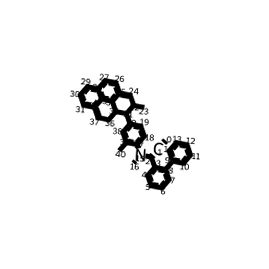 C=C=C(c1ccccc1-c1ccccc1)N(C)c1ccc(C2C(C)C=c3ccc4cccc5c4c3C2CC=5)cc1C